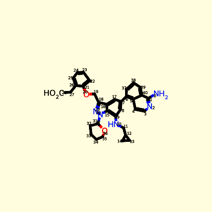 Nc1nccc2c(-c3cc(NCC4CC4)c4c(c3)c(COc3ccccc3CC(=O)O)nn4C3CCCCO3)cccc12